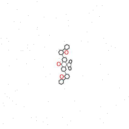 O=C1c2cc(-c3cccc4c3oc3ccccc34)ccc2C2(c3cc(-c4cccc5c4oc4ccccc45)ccc31)c1ccccc1-c1ccccc12